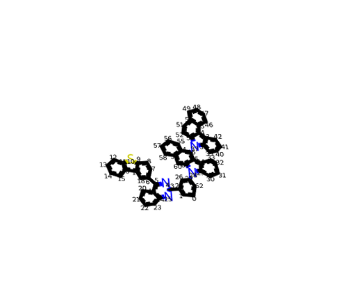 c1cc(-c2nc(-c3ccc4sc5ccccc5c4c3)c3ccccc3n2)cc(-n2c3ccccc3c3c(-n4c5ccccc5c5c6ccccc6ccc54)c4ccccc4cc32)c1